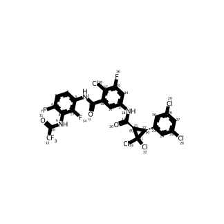 O=C(Nc1ccc(F)c(NC(=O)C(F)(F)F)c1F)c1cc(NC(=O)[C@H]2[C@H](c3cc(Cl)cc(Cl)c3)C2(Cl)Cl)cc(F)c1Cl